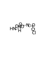 O=C(Nc1cccc2c1CCN2)OCCCN1CCC(C(=O)c2ccc(Cl)cc2)CC1